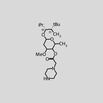 COC1CC(O[C@H](C(C)C)[C@@H](C)C(C)(C)C)OC(C)C1OC(=O)CN1CCNCC1